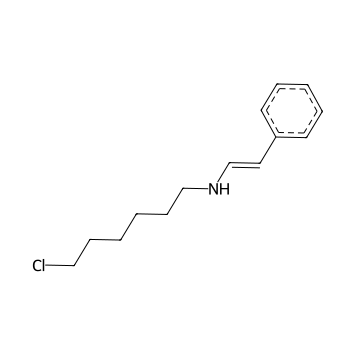 ClCCCCCCNC=Cc1ccccc1